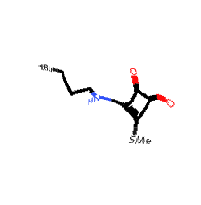 CSc1c(NCCCC(C)(C)C)c(=O)c1=O